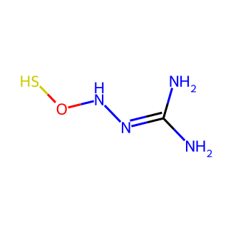 NC(N)=NNOS